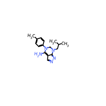 Cc1ccc(N2CN(CC(C)C)C3=NN=CC3=C2N)cc1